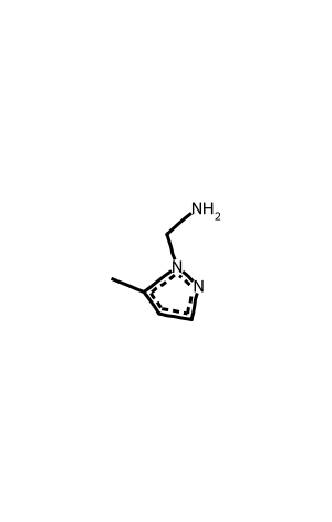 Cc1ccnn1CN